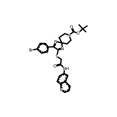 CC(C)(C)OC(=O)N1CCC2(CC1)N=C(SCC(=O)Nc1ccc3ncccc3c1)C(c1ccc(Br)cc1)=N2